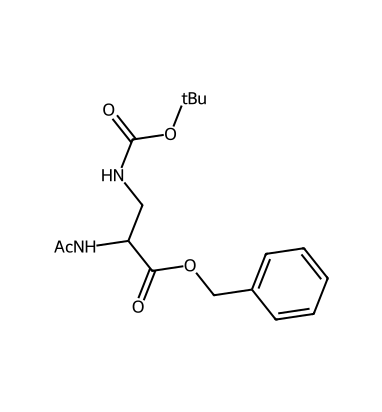 CC(=O)NC(CNC(=O)OC(C)(C)C)C(=O)OCc1ccccc1